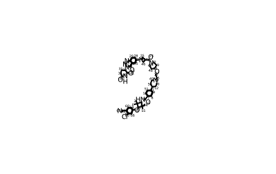 CC1(C)[C@H](NC(=O)c2ccc(C3CCN(CCOC4CCN(C(=O)C5CN(c6ccc7nnn(C8CCC(=O)NC8=O)c(=O)c7c6)C5)CC4)CC3)cc2)C(C)(C)[C@H]1Oc1ccc(C#N)c(Cl)c1